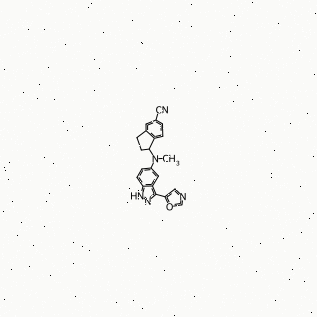 CN(c1ccc2[nH]nc(-c3cnco3)c2c1)C1CCc2cc(C#N)ccc21